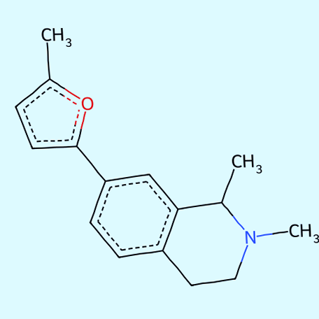 Cc1ccc(-c2ccc3c(c2)C(C)N(C)CC3)o1